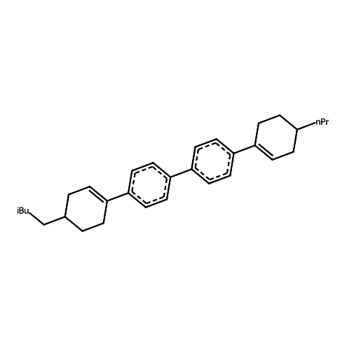 CCCC1CC=C(c2ccc(-c3ccc(C4=CCC(CC(C)CC)CC4)cc3)cc2)CC1